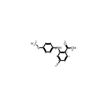 CSc1ccc(Nc2cc(F)ccc2C(=O)O)cc1